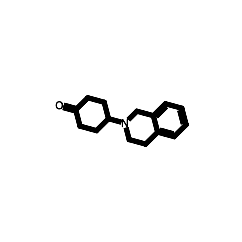 O=C1CCC(N2CCc3ccccc3C2)CC1